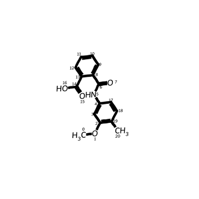 COc1cc(NC(=O)c2ccccc2C(=O)O)ccc1C